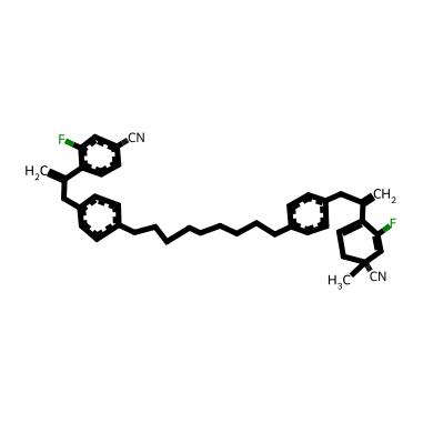 C=C(Cc1ccc(CCCCCCCCCc2ccc(CC(=C)c3ccc(C#N)cc3F)cc2)cc1)C1=CCC(C)(C#N)C=C1F